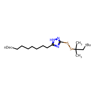 CCCCCCCCCCCCCCCCCc1nc(SSC(C)(C)CC(C)(C)C)n[nH]1